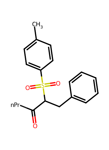 CCCC(=O)C(Cc1ccccc1)S(=O)(=O)c1ccc(C)cc1